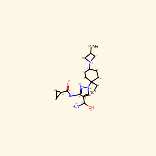 COC1CN(C2CCC(CC#N)(n3cc(C(N)O)c(NC(=O)C4CC4)n3)CC2)C1